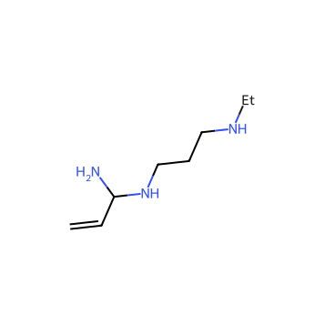 C=CC(N)NCCCNCC